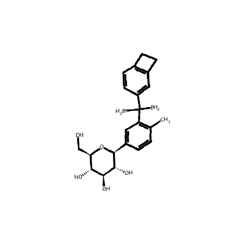 BC(B)(c1ccc2c(c1)CC2)c1cc([C@@H]2O[C@H](CO)[C@@H](O)[C@H](O)[C@H]2O)ccc1C